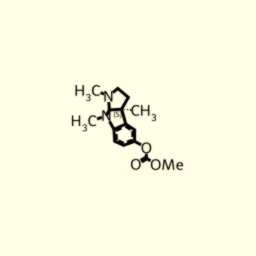 COC(=O)Oc1ccc2c(c1)[C@]1(C)CCN(C)C1N2C